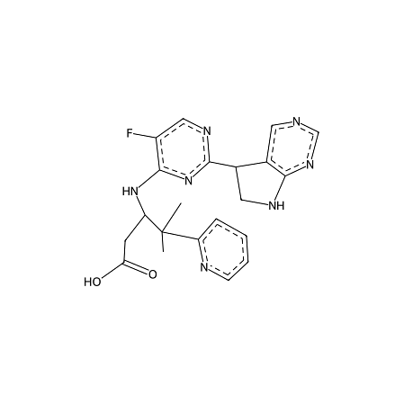 CC(C)(c1ccccn1)C(CC(=O)O)Nc1nc(C2CNc3ncncc32)ncc1F